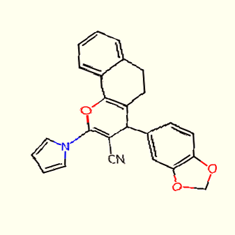 N#CC1=C(n2cccc2)OC2=C(CCc3ccccc32)C1c1ccc2c(c1)OCO2